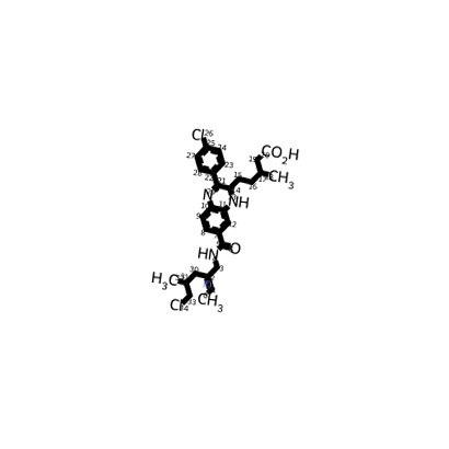 C/C=C(/CNC(=O)c1ccc2c(c1)NC(CCC(C)CC(=O)O)C(c1ccc(Cl)cc1)=N2)CC(C)CCl